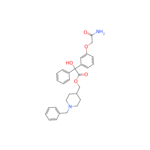 NC(=O)COc1cccc(C(O)(C(=O)OCC2CCN(Cc3ccccc3)CC2)c2ccccc2)c1